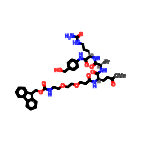 COC(=O)CC[C@@H](NC(=O)CCOCCOCCNC(=O)OCC1c2ccccc2-c2ccccc21)C(=O)N[C@H](C(=O)N[C@@H](CCCNC(N)=O)C(=O)Nc1ccc(CO)cc1)C(C)C